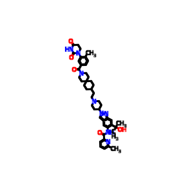 Cc1cccc(C(=O)Nc2cc3cn(C4CCN(CCC5CCC6(CC5)CCN(C(=O)c5ccc(C)c(N7CCC(=O)NC7=O)c5)CC6)CC4)nc3cc2C(C)(C)O)n1